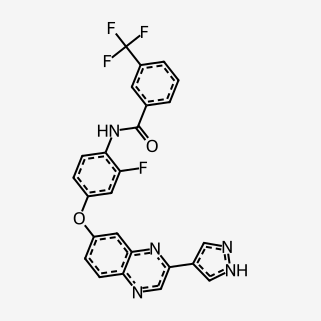 O=C(Nc1ccc(Oc2ccc3ncc(-c4cn[nH]c4)nc3c2)cc1F)c1cccc(C(F)(F)F)c1